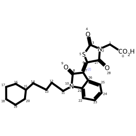 O=C(O)CN1C(=O)S/C(=C2\C(=O)N(CCCCC3CCCCC3)c3ccccc32)C1=O